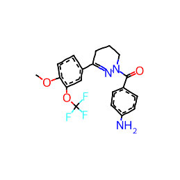 COc1ccc(C2=NN(C(=O)c3ccc(N)cc3)CCC2)cc1OC(F)(F)F